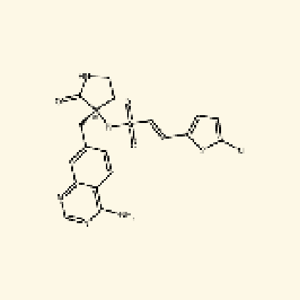 Nc1ncnc2cc(C[C@]3([N]S(=O)(=O)C=Cc4ccc(Cl)s4)CCNC3=O)ccc12